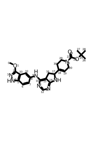 COc1n[nH]c2ccc(Nc3ncnc4c3CC(C3=CCN(C(=O)OC(C)(C)C)CC3)N4)cc12